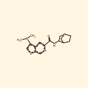 CN(C)c1csc2cnc(C(=O)NC3CN4CCC3C4)cc12